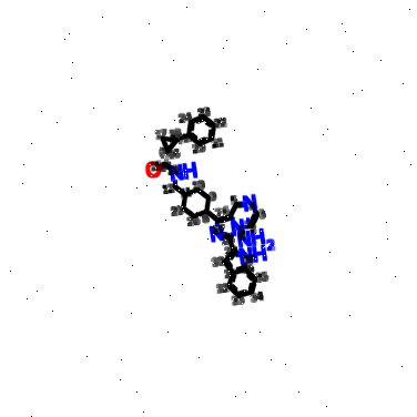 N[N+]12C=CN=CC1=C(C1CCC(CNC(=O)[C@@H]3C[C@H]3c3ccccc3)CC1)N=C2c1cc2ccccc2[nH]1